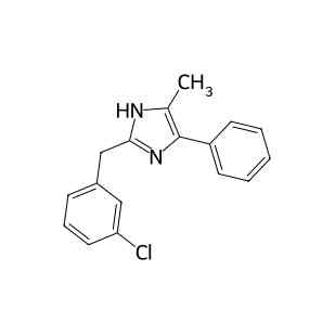 Cc1[nH]c(Cc2cccc(Cl)c2)nc1-c1ccccc1